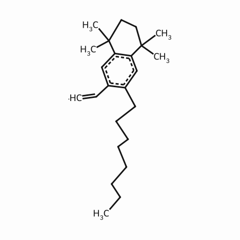 [CH]=Cc1cc2c(cc1CCCCCCCC)C(C)(C)CCC2(C)C